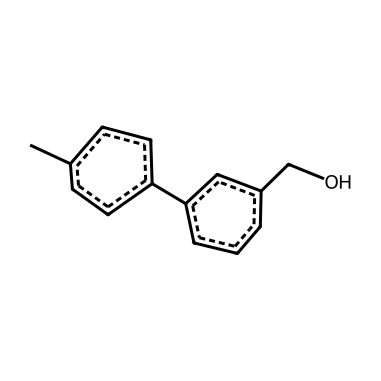 Cc1ccc(-c2cccc(CO)c2)cc1